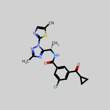 Cc1nc([C@H](C)NC(=O)c2cc(Cl)cc(C(=O)C3CC3)c2)n(-c2ncc(C#N)s2)n1